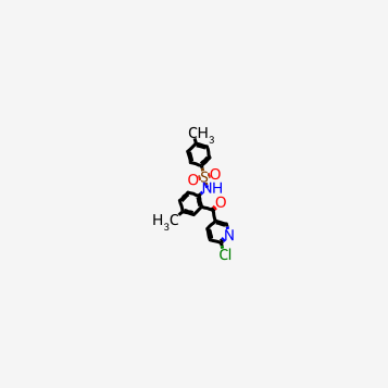 Cc1ccc(S(=O)(=O)Nc2ccc(C)cc2C(=O)c2ccc(Cl)nc2)cc1